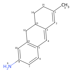 CC1=CC2=Cc3ccc(N)cc3CC2CC1